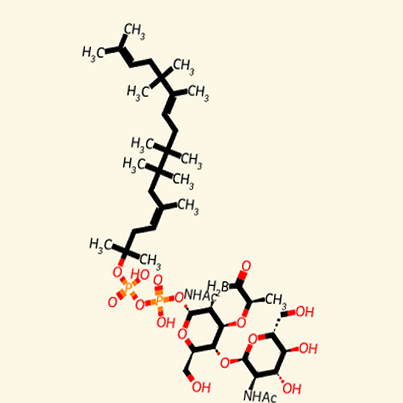 BC(=O)[C@@H](C)O[C@@H]1[C@@H](NC(C)=O)[C@@H](OP(=O)(O)OP(=O)(O)OC(C)(C)C/C=C(/C)CC(C)(C)C(C)(C)C/C=C(\C)C(C)(C)CC=C(C)C)O[C@H](CO)[C@H]1O[C@H]1O[C@H](CO)[C@@H](O)[C@H](O)[C@H]1NC(C)=O